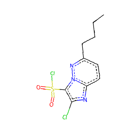 CCCCc1ccc2nc(Cl)c(S(=O)(=O)Cl)n2n1